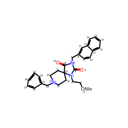 COCCN1C(=O)N(Cc2ccc3ccccc3c2)C(=O)C12CCN(Cc1ccccc1)CC2